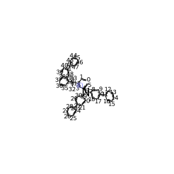 C=C/C(=C\C(=C)N(c1ccc(-c2ccccc2)cc1)C1C=CC(C2C=CC=CC2)=CC1)C(C)(C)c1cccc2ccc(-c3ccccc3)cc12